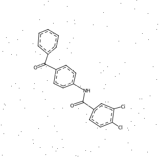 O=C(Nc1ccc(C(=O)c2ccccc2)cc1)c1ccc(Cl)c(Cl)c1